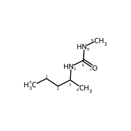 CCCC(C)NC(=O)NC